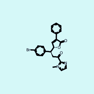 Cn1ccnc1C(=O)C[C@@H](c1ccc(Br)cc1)[C@@H]1C=C(c2ccccc2)C(=O)O1